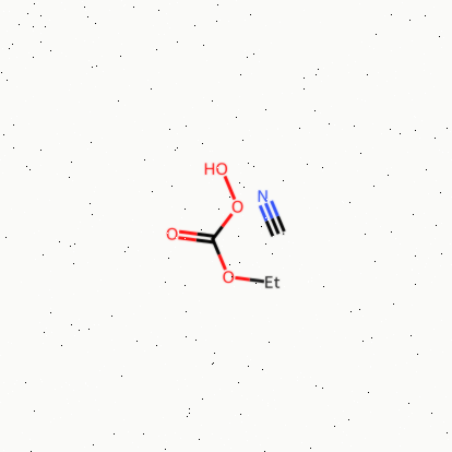 CCOC(=O)OO.[C]#N